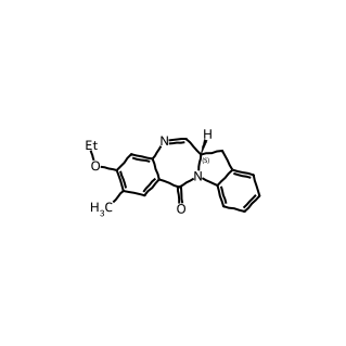 CCOc1cc2c(cc1C)C(=O)N1c3ccccc3C[C@H]1C=N2